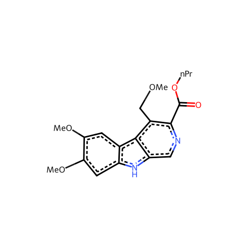 CCCOC(=O)c1ncc2[nH]c3cc(OC)c(OC)cc3c2c1COC